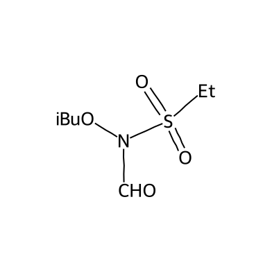 CCS(=O)(=O)N(C=O)OCC(C)C